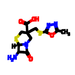 Cc1nnc(SCC2(C(=O)O)CS[C@@H]3C(N)C(=O)N3C2)o1